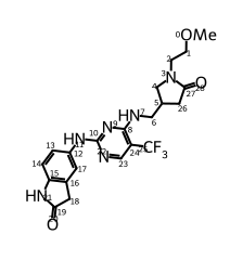 COCCN1CC(CNc2nc(Nc3ccc4c(c3)CC(=O)N4)ncc2C(F)(F)F)CC1=O